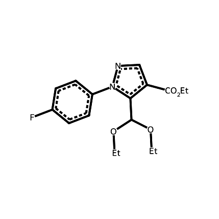 CCOC(=O)c1cnn(-c2ccc(F)cc2)c1C(OCC)OCC